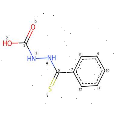 O=C(O)NNC(=S)c1ccccc1